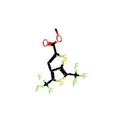 COC(=O)c1cc2c(C(F)(F)F)sc(C(F)(F)F)c2s1